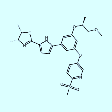 COC[C@H](C)Oc1cc(Oc2ccc(S(C)(=O)=O)nc2)cc(-c2ccc(C3=N[C@H](C)[C@H](C)O3)[nH]2)c1